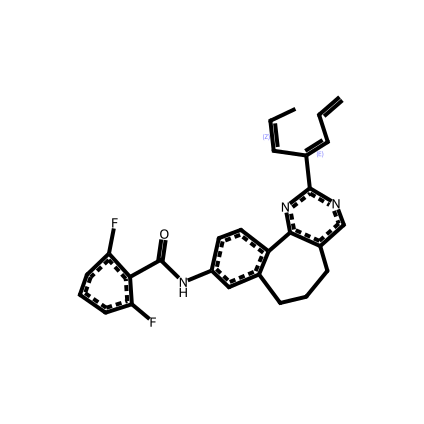 C=C/C=C(\C=C/C)c1ncc2c(n1)-c1ccc(NC(=O)c3c(F)cccc3F)cc1CCC2